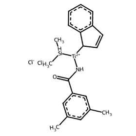 Cc1cc(C)cc(C(=O)[NH][Ti+2]([CH]2C=Cc3ccccc32)[SiH](C)C)c1.[Cl-].[Cl-]